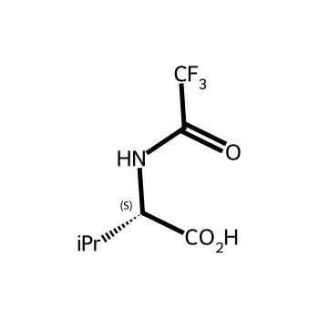 CC(C)[C@H](NC(=O)C(F)(F)F)C(=O)O